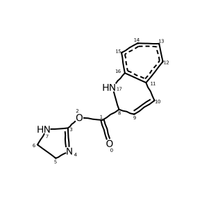 O=C(OC1=NCCN1)C1C=Cc2ccccc2N1